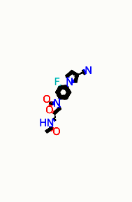 CC(=O)NC[C@H]1CN(c2ccc(N3CC[C@@H](C#N)C3)c(F)c2)C(=O)O1